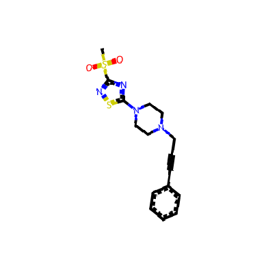 CS(=O)(=O)c1nsc(N2CCN(CC#Cc3ccccc3)CC2)n1